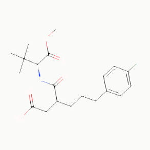 COC(=O)[C@@H](NC(=O)C(CCCc1ccc(Cl)cc1)CC(=O)O)C(C)(C)C